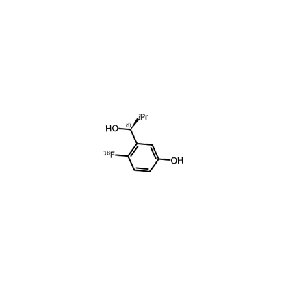 CC(C)[C@H](O)c1cc(O)ccc1[18F]